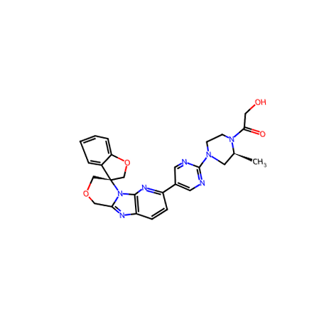 C[C@H]1CN(c2ncc(-c3ccc4nc5n(c4n3)[C@@]3(COC5)COc4ccccc43)cn2)CCN1C(=O)CO